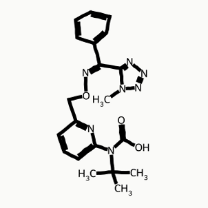 Cn1nnnc1C(=NOCc1cccc(N(C(=O)O)C(C)(C)C)n1)c1ccccc1